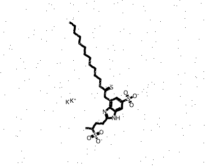 CCCCCCCCCCCCCC(=S)Cc1cc(S(=O)(=O)[O-])cc2[nH]c(CCC(C)S(=O)(=O)[O-])nc12.[K+].[K+]